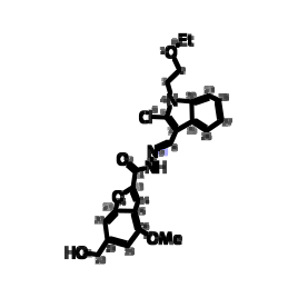 CCOCCn1c(Cl)c(/C=N/NC(=O)c2cc3c(OC)cc(CO)cc3o2)c2ccccc21